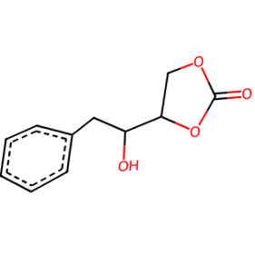 O=C1OCC(C(O)Cc2ccccc2)O1